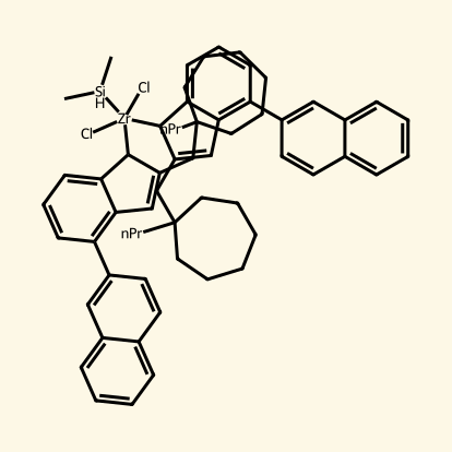 CCCC1(CC2=Cc3c(-c4ccc5ccccc5c4)cccc3[CH]2[Zr]([Cl])([Cl])([CH]2C(CC3(CCC)CCCCCC3)=Cc3c(-c4ccc5ccccc5c4)cccc32)[SiH](C)C)CCCCCC1